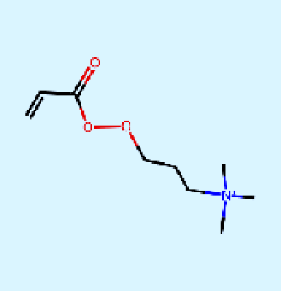 C=CC(=O)OOCCC[N+](C)(C)C